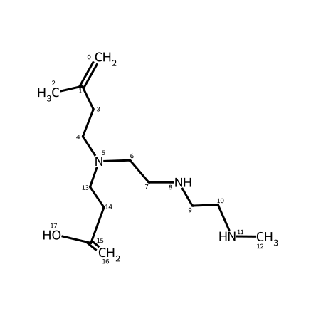 C=C(C)CCN(CCNCCNC)CCC(=C)O